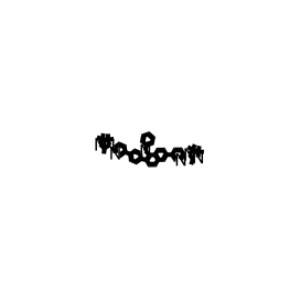 CC1=NC(C)(C)C(C)(C)N1c1ccc(-c2ccc3c(ccc4c5ccc(-c6ccc(N7C(C)=NC(C)(C)C7(C)C)nc6)cc5n(-c5ccccc5)c34)c2)cn1